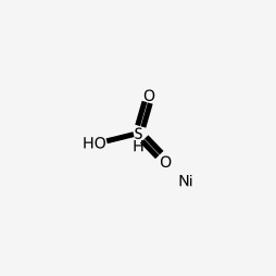 O=[SH](=O)O.[Ni]